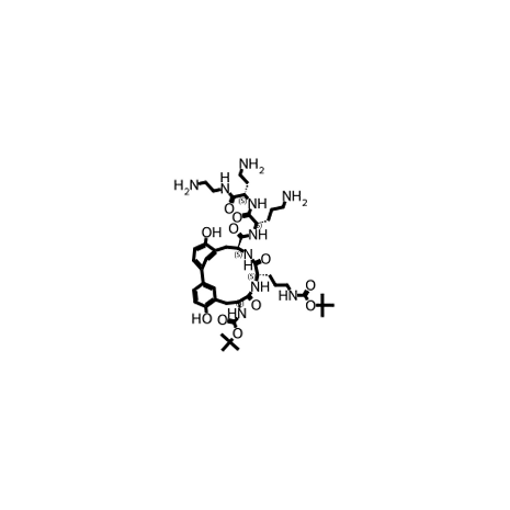 CC(C)(C)OC(=O)NCCC[C@@H]1NC(=O)[C@@H](NC(=O)OC(C)(C)C)Cc2cc(ccc2O)-c2ccc(O)c(c2)C[C@@H](C(=O)N[C@@H](CCCN)C(=O)N[C@@H](CCN)C(=O)NCCN)NC1=O